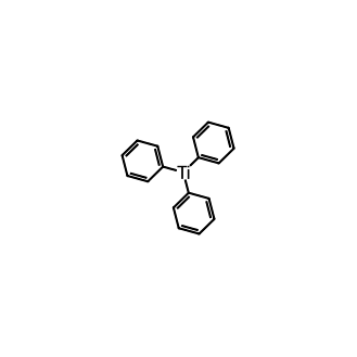 c1cc[c]([Ti]([c]2ccccc2)[c]2ccccc2)cc1